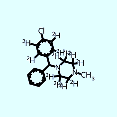 [2H]c1c([2H])c(C(c2ccccc2)N2C([2H])([2H])C([2H])([2H])N(C)C([2H])([2H])C2([2H])[2H])c([2H])c([2H])c1Cl